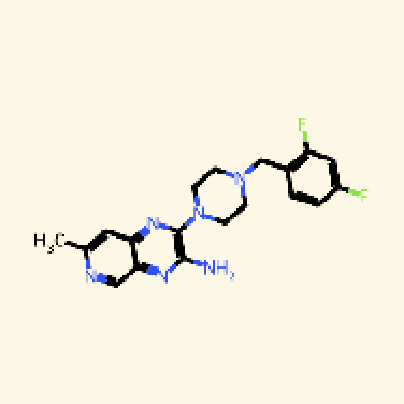 Cc1cc2nc(N3CCN(Cc4ccc(F)cc4F)CC3)c(N)nc2cn1